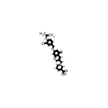 CC(C)Oc1ccc(COc2cc(F)c3c(c2)OCC(CN2CCC=C(C(=O)O)C2)=C3)cc1Cl